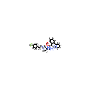 O=C(Cc1ccccc1-c1ccccn1)NC1CCN(CCc2ccc(F)cc2)C1